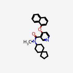 CN(C(=O)c1cnccc1Oc1cccc2ccccc12)C1CCC2(CCCC2)CC1